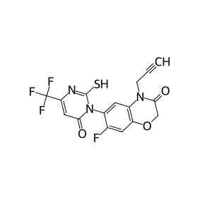 C#CCN1C(=O)COc2cc(F)c(-n3c(S)nc(C(F)(F)F)cc3=O)cc21